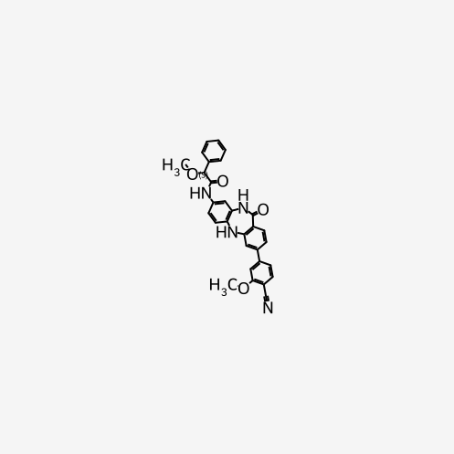 COc1cc(-c2ccc3c(c2)Nc2ccc(NC(=O)[C@@H](OC)c4ccccc4)cc2NC3=O)ccc1C#N